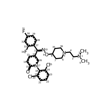 CN(C)CCN1CCC(O/N=C(\c2ccc(=O)n(-c3c(Cl)cccc3Cl)c2)c2ccc(F)cc2F)CC1